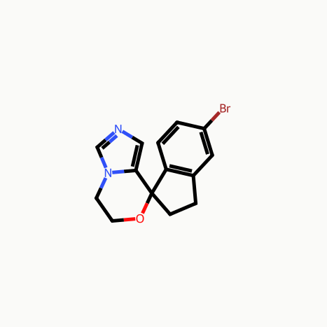 Brc1ccc2c(c1)CCC21OCCn2cncc21